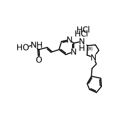 Cl.Cl.O=C(C=Cc1cnc(N[C@@H]2CCN(CCc3ccccc3)C2)nc1)NO